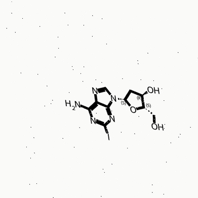 Nc1nc(I)nc2c1ncn2[C@@H]1C[C@@H](O)[C@H](CO)O1